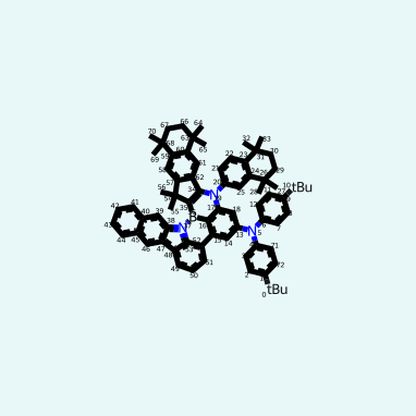 CC(C)(C)c1ccc(N(c2ccc(C(C)(C)C)cc2)c2cc3c4c(c2)N(c2ccc5c(c2)C(C)(C)CCC5(C)C)C2=C(B4n4c5cc6ccccc6cc5c5cccc-3c54)C(C)(C)c3cc4c(cc32)C(C)(C)CCC4(C)C)cc1